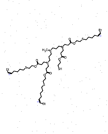 CC/C=C\CCCCSCCOC(=O)CCN(CCCN(C)CCCN(CCC(=O)OCCSCCCC/C=C\CC)CCC(=O)OCCSCCCC/C=C\CC)CCC(=O)OCCS